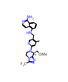 COC[C@H]1c2nnc(C(F)(F)F)n2CCN1c1cc(C)c(CNc2cccc3c(N)nccc23)cn1